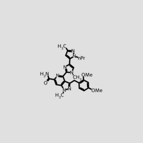 CCCn1nc(C)cc1-c1cn(C)c(-c2nc(C(N)=O)cc3c2c(Cc2ccc(OC)cc2OC)nn3C)n1